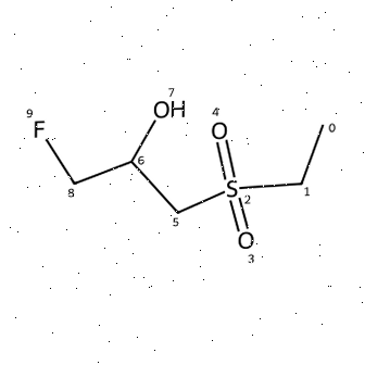 CCS(=O)(=O)CC(O)CF